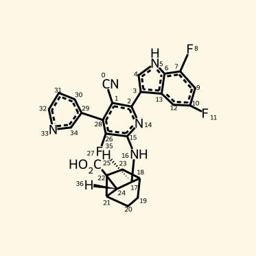 N#Cc1c(-c2c[nH]c3c(F)cc(F)cc23)nc(N[C@H]2C3CCC(CC3)[C@@H]2C(=O)O)c(F)c1-c1cccnc1